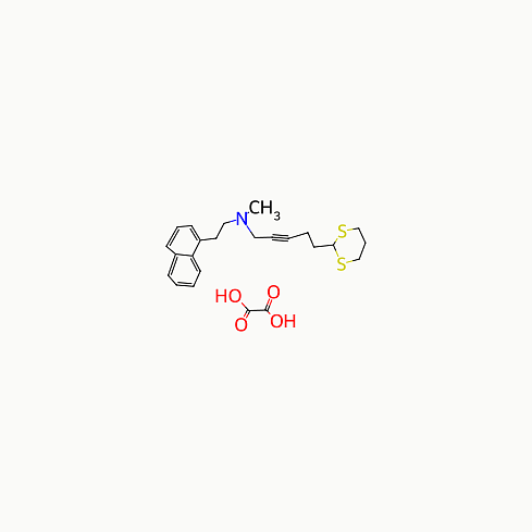 CN(CC#CCCC1SCCCS1)CCc1cccc2ccccc12.O=C(O)C(=O)O